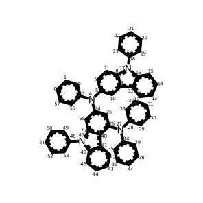 c1ccc(N(c2ccc3c(c2)c2ccccc2n3-c2ccccc2)c2cc(N(c3ccccc3)c3ccccc3)c3c4ccccc4n(-c4ccccc4)c3c2)cc1